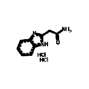 Cl.Cl.NC(=O)Cc1nc2ccccc2[nH]1